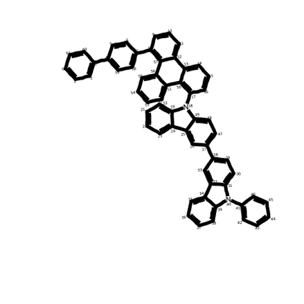 c1ccc(-c2ccc(-c3cccc4c5cccc(-n6c7ccccc7c7cc(-c8ccc9c(c8)c8ccccc8n9-c8ccccc8)ccc76)c5c5ccccc5c34)cc2)cc1